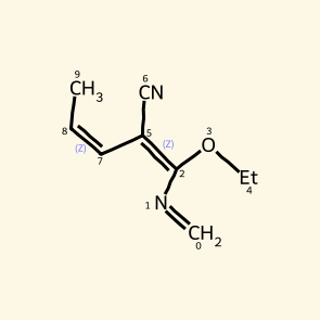 C=N/C(OCC)=C(C#N)\C=C/C